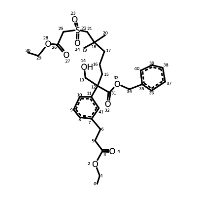 CCOC(=O)CCc1cccc(C(CO)(CCCC(C)(C)CS(=O)(=O)CC(=O)OCC)C(=O)OCc2ccccc2)c1